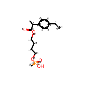 CC(C)Cc1ccc(C(C)C(=O)OCCCCOP(C)(=O)O)cc1